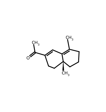 CC(=O)C1=CC2=C(C)CCC[C@]2(C)CC1